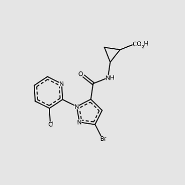 O=C(NC1CC1C(=O)O)c1cc(Br)nn1-c1ncccc1Cl